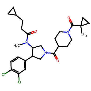 CN(C(=O)CCC1CC1)C1CN(C(=O)C2CCN(C(=O)C3(C)CC3)CC2)CC1c1ccc(Cl)c(Cl)c1